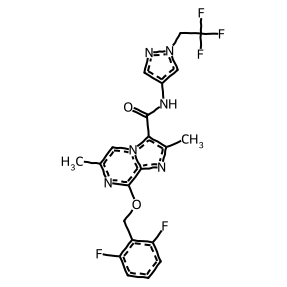 Cc1cn2c(C(=O)Nc3cnn(CC(F)(F)F)c3)c(C)nc2c(OCc2c(F)cccc2F)n1